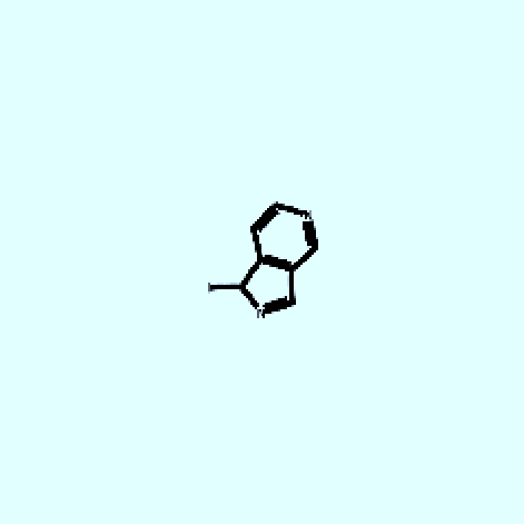 IC1N=Cc2cnccc21